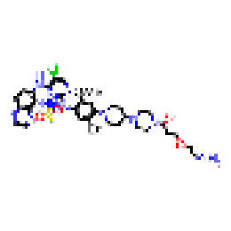 CCc1cc(Nc2ncc(Cl)c(Nc3ccc4nccnc4c3NS(C)(=O)=O)n2)c(OC)cc1N1CCC(N2CCN(C(=O)CCOCCN)CC2)CC1